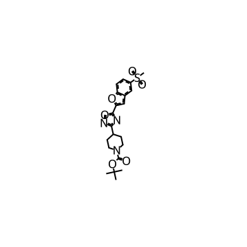 CC(C)(C)OC(=O)N1CCC(c2noc(-c3cc4cc(S(C)(=O)=O)ccc4o3)n2)CC1